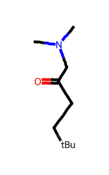 CN(C)CC(=O)CCC(C)(C)C